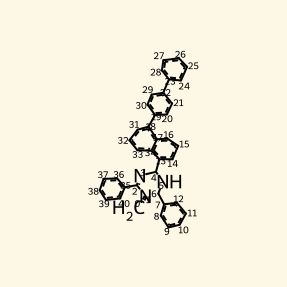 C=N/C(=N\C(NCc1ccccc1)c1cccc2c(-c3ccc(-c4ccccc4)cc3)cccc12)c1ccccc1